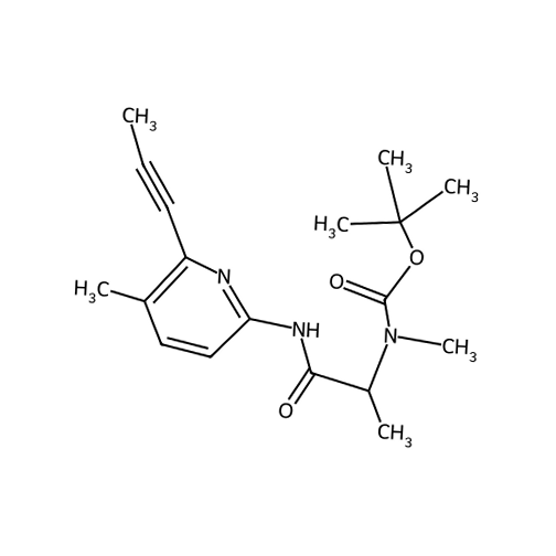 CC#Cc1nc(NC(=O)C(C)N(C)C(=O)OC(C)(C)C)ccc1C